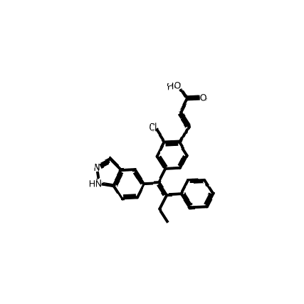 CC/C(=C(/c1ccc(/C=C/C(=O)O)c(Cl)c1)c1ccc2[nH]ncc2c1)c1ccccc1